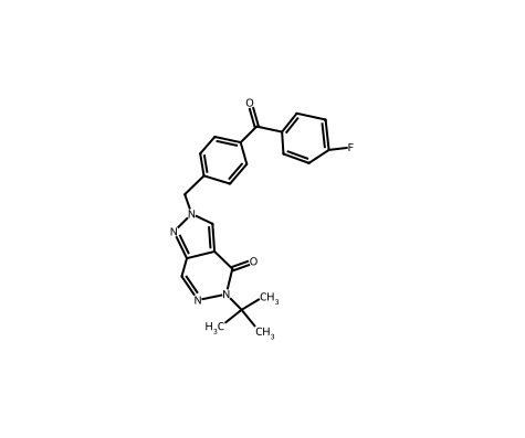 CC(C)(C)n1ncc2nn(Cc3ccc(C(=O)c4ccc(F)cc4)cc3)cc2c1=O